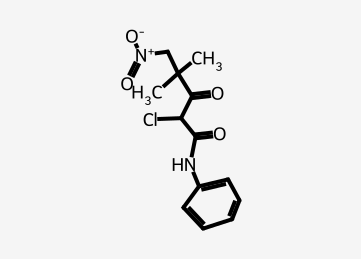 CC(C)(C[N+](=O)[O-])C(=O)C(Cl)C(=O)Nc1ccccc1